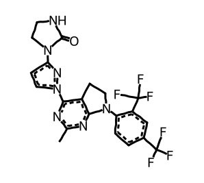 Cc1nc2c(c(-n3ccc(N4CCNC4=O)n3)n1)CCN2c1ccc(C(F)(F)F)cc1C(F)(F)F